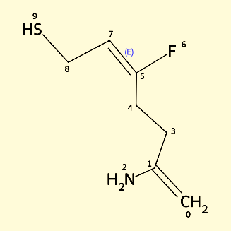 C=C(N)CC/C(F)=C\CS